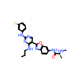 CCCNc1nc(Nc2cccc(F)c2)ncc1-c1nc2ccc(NC(=O)[C@H](C)NC)cc2o1